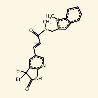 CCC1(CC)C(=O)Nc2ncc(/C=C/C(=O)N(C)Cc3cc4ccccc4n3C)cc21